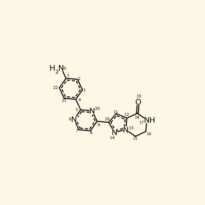 Nc1ccc(-c2nccc(-c3cc4n(n3)CCNC4=O)n2)cc1